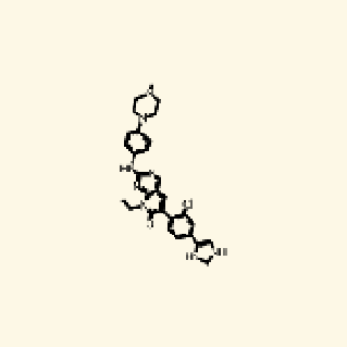 CCn1c(=O)c(-c2ccc(C3=CNCN3)cc2Cl)cc2cnc(Nc3ccc(N4CCN(C)CC4)cc3)nc21